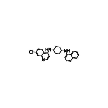 Clc1ccc2c(N[C@H]3CC[C@@H](Nc4cccc5ccccc45)CC3)ccnc2c1